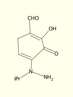 CC(C)N(N)C1=CCC(C=O)=C(O)C1=O